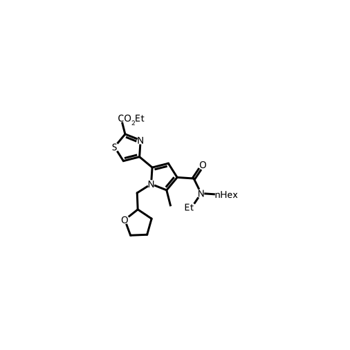 CCCCCCN(CC)C(=O)c1cc(-c2csc(C(=O)OCC)n2)n(CC2CCCO2)c1C